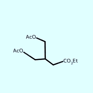 CCOC(=O)CC(COC(C)=O)COC(C)=O